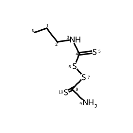 CCCNC(=S)SSC(N)=S